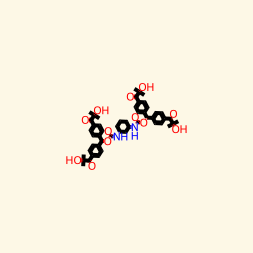 CC(C)(O)C(=O)c1ccc(C(OC(=O)NC2CCCC(NC(=O)OC(c3ccc(C(=O)C(C)(C)O)cc3)c3ccc(C(=O)C(C)(C)O)cc3)C2)c2ccc(C(=O)C(C)(C)O)cc2)cc1